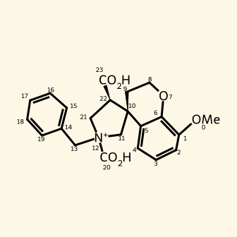 COc1cccc2c1OCC[C@]21C[N+](Cc2ccccc2)(C(=O)O)C[C@H]1C(=O)O